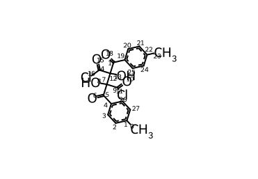 Cc1ccc(C(=O)C(O)(C(=O)Cl)C(O)(C(=O)Cl)C(=O)c2ccc(C)cc2)cc1